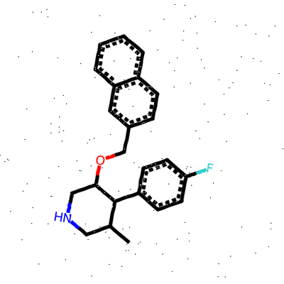 CC1CNCC(OCc2ccc3ccccc3c2)C1c1ccc(F)cc1